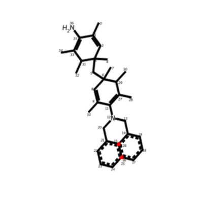 CC1=CC(C)(CC2(C)C=C(C)C(N(Cc3ccccc3)Cc3ccccc3)=C(C)C2C)C(C)C(C)=C1N